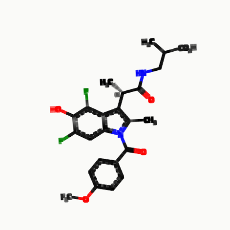 Cc1c([C@H](C)C(=O)NCC(C)C(=O)O)c2c(F)c(O)c(F)cc2n1C(=O)c1ccc(OC(F)(F)F)cc1